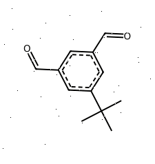 CC(C)(C)c1cc(C=O)cc(C=O)c1